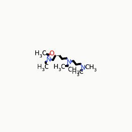 CCN1C[C@@H](CCCN(CCCN(C)C)C(C)C)OC1C